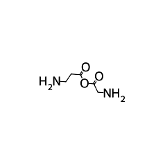 NCCC(=O)OC(=O)CN